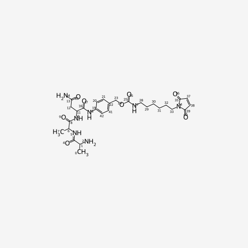 CC(N)C(=O)NC(C)C(=O)NC(CC(N)=O)C(=O)Nc1ccc(COC(=O)NCCCCCCN2C(=O)C=CC2=O)cc1